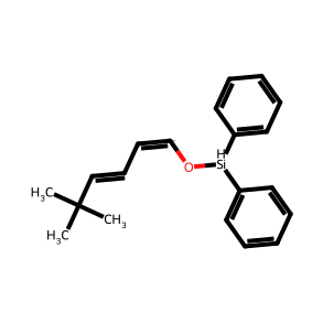 CC(C)(C)/C=C/C=[C]\O[SiH](c1ccccc1)c1ccccc1